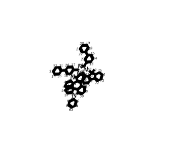 CC1(C)c2c(cccc2-c2nc(-c3cccc(-c4ccccc4)c3)nc(-c3ccc(-c4ccccc4)cc3-n3c4ccccc4c4c(-c5cccc6c5c5ccccc5n6-c5ccccc5)cccc43)n2)C2=CC=CCC21